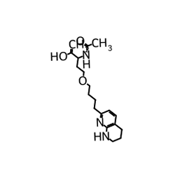 C=C(O)C(CCOCCCCc1ccc2c(n1)NCCC2)NC(C)=O